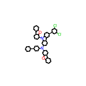 Clc1cc(Cl)cc(-c2ccc3c(c2)c2ccc(N(c4ccc(-c5ccccc5)cc4)c4ccc5c(c4)oc4ccccc45)cc2n3-c2cccc3c2oc2ccccc23)c1